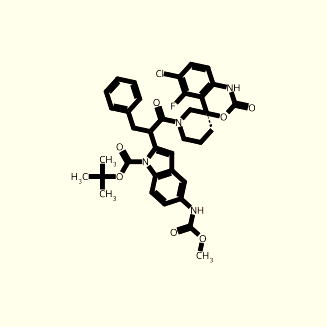 COC(=O)Nc1ccc2c(c1)cc(C(Cc1ccccc1)C(=O)N1CCC[C@@]3(C1)OC(=O)Nc1ccc(Cl)c(F)c13)n2C(=O)OC(C)(C)C